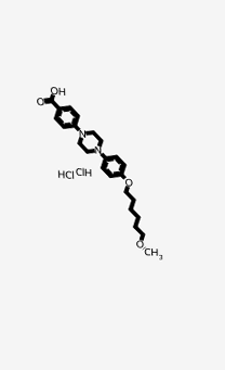 COCCCCCCOc1ccc(N2CCN(c3ccc(C(=O)O)cc3)CC2)cc1.Cl.Cl